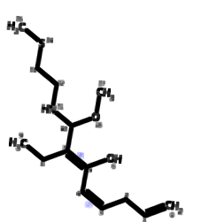 C=CC/C=C\C(O)=C(/CC)C(NCCSC)OC